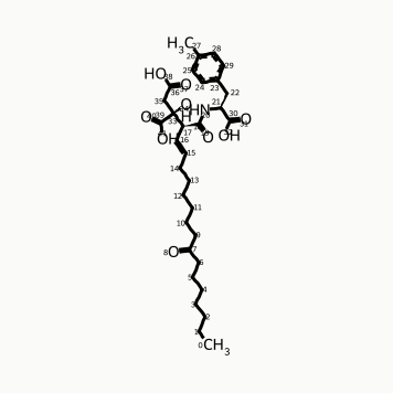 CCCCCCCC(=O)CCCCCC/C=C/[C@H](C(=O)N[C@@H](Cc1ccc(C)cc1)C(=O)O)[C@@](O)(CC(=O)O)C(=O)O